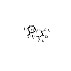 CCC(N(C)C)N(C)C.O=c1[nH]c2ccc1cc2